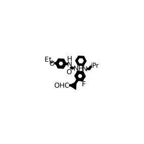 CCOc1ccc(NC(=O)Nc2cc(C3CC3C=O)c(F)cc2N(CC(C)C)C2CCCCC2)cc1